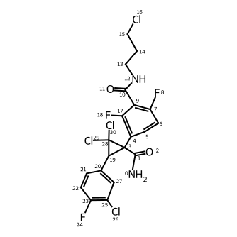 NC(=O)C1(c2ccc(F)c(C(=O)NCCCCl)c2F)C(c2ccc(F)c(Cl)c2)C1(Cl)Cl